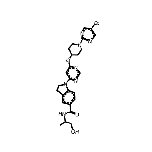 CCc1cnc(N2CCC(Oc3cc(N4CCc5cc(C(=O)NC(C)CO)ccc54)ncn3)CC2)nc1